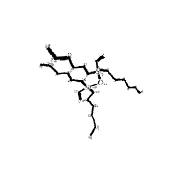 C=C[Si](CCCCCC)(CCCCCC)O[Si](C=C)(CCCCCC)CCCCCC